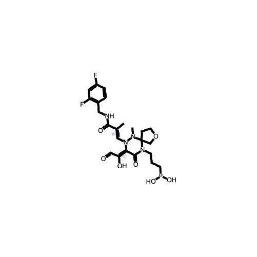 C/C(=C\N1/C(=C(/O)C=O)C(=O)N(CCCP(O)O)C2(CCOC2)N1C)C(=O)NCc1ccc(F)cc1F